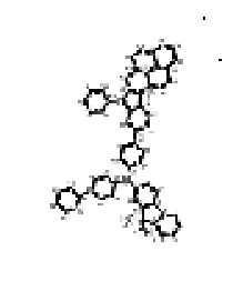 CC1(C)c2ccccc2-c2ccc(N(c3ccc(-c4ccccc4)cc3)c3ccc(-c4ccc5c6c7ccc8cccc9ccc(cc6n(-c6ccccc6)c5c4)c7c98)cc3)cc21